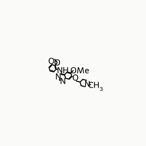 COc1cc2c(Nc3cccc4c3OCO4)ncnc2cc1OCC1CCN(C)CC1